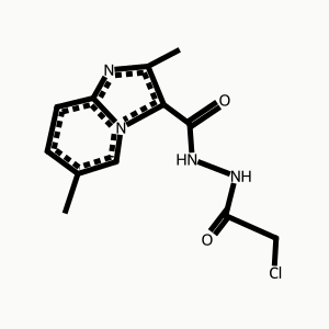 Cc1ccc2nc(C)c(C(=O)NNC(=O)CCl)n2c1